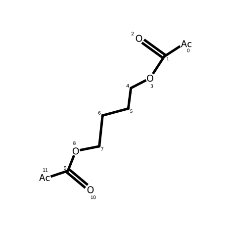 CC(=O)C(=O)OCCCCOC(=O)C(C)=O